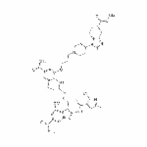 CCn1nc(C)cc1C(=O)Nc1nc2cc(C(N)=O)cc(OC)c2n1C/C=C/CNc1c(OCCCN2CCC(c3nnc4n3CCN(C(=O)OC(C)(C)C)C4)CC2)cc(C(N)=O)cc1[N+](=O)[O-]